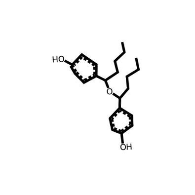 CCCCC(OC(CCCC)c1ccc(O)cc1)c1ccc(O)cc1